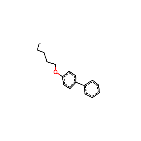 [CH2]CCCCOc1ccc(-c2ccccc2)cc1